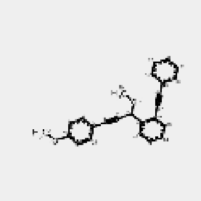 COc1ccc(C#CC(OC)c2ccccc2C#Cc2ccccc2)cc1